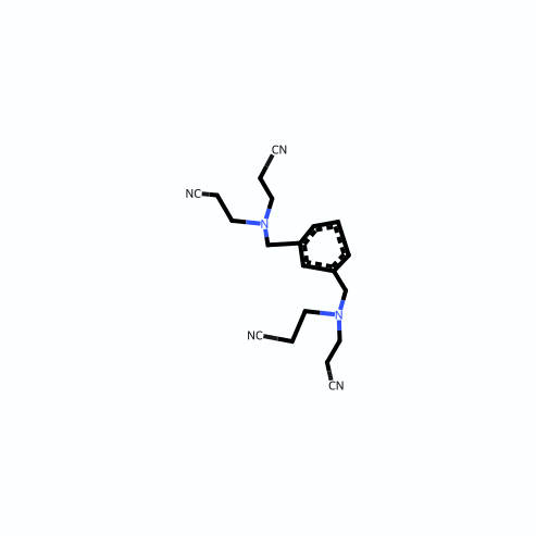 N#CCCN(CCC#N)Cc1cccc(CN(CCC#N)CCC#N)c1